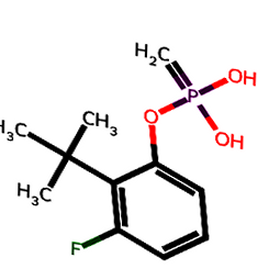 C=P(O)(O)Oc1cccc(F)c1C(C)(C)C